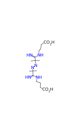 CC(C)(N=NC(C)(C)C(=N)NCCCC(=O)O)C(=N)NCCCC(=O)O